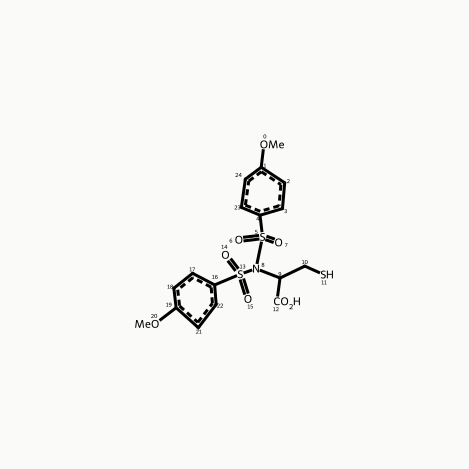 COc1ccc(S(=O)(=O)N(C(CS)C(=O)O)S(=O)(=O)c2ccc(OC)cc2)cc1